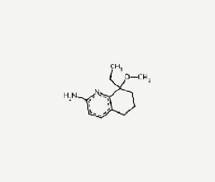 CCC1(OC)CCCc2ccc(N)nc21